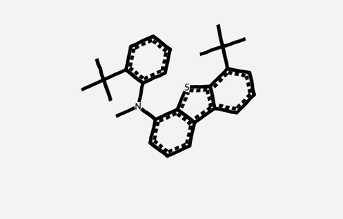 CN(c1ccccc1C(C)(C)C)c1cccc2c1sc1c(C(C)(C)C)cccc12